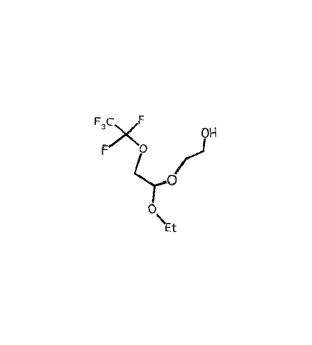 CCOC(COC(F)(F)C(F)(F)F)OCCO